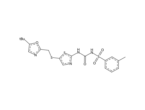 Cc1cccc(S(=O)(=O)NC(=O)Nc2ncc(SCc3ncc(C(C)(C)C)o3)s2)c1